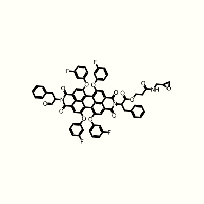 O=CC(Cc1ccccc1)N1C(=O)c2cc(Oc3cccc(F)c3)c3c4c(Oc5cccc(F)c5)cc5c6c(cc(Oc7cccc(F)c7)c(c7c(Oc8cccc(F)c8)cc(c2c37)C1=O)c64)C(=O)N(C(Cc1ccccc1)C(=O)OCCC(=O)NCC1CO1)C5=O